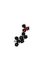 c1ccc(C2=NC(c3cccc4oc5c(-n6c7ccccc7c7cc(-c8ccc9c(c8)c8ccccc8n9-c8ccccc8)ccc76)cccc5c34)=NC(c3ccccc3)N2)cc1